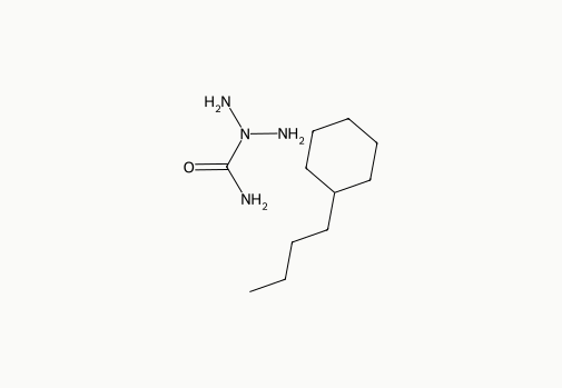 CCCCC1CCCCC1.NC(=O)N(N)N